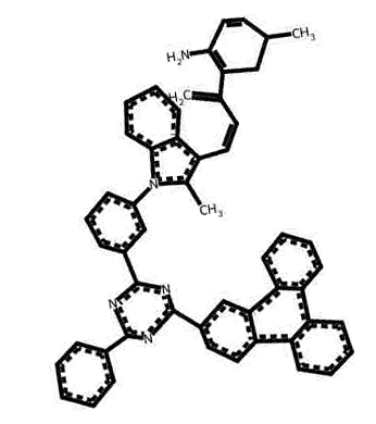 C=C(/C=C\c1c(C)n(-c2cccc(-c3nc(-c4ccccc4)nc(-c4ccc5c6ccccc6c6ccccc6c5c4)n3)c2)c2ccccc12)C1=C(N)C=CC(C)C1